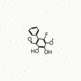 COc1c(O)c(O)c(C=O)c(-c2ccccc2)c1F